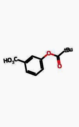 CC(C)(C)C(=O)Oc1cccc(C(=O)O)c1